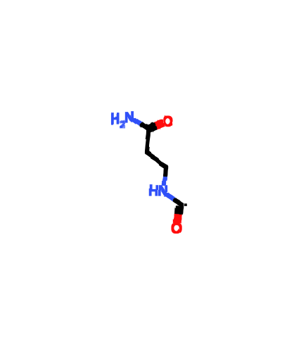 NC(=O)CCN[C]=O